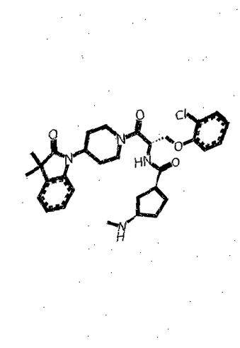 CN[C@@H]1CC[C@H](C(=O)N[C@@H](COc2ccccc2Cl)C(=O)N2CCC(N3C(=O)C(C)(C)c4ccccc43)CC2)C1